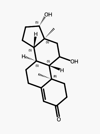 C[C@]12CC(O)[C@H]3[C@@H](CCC4=CC(=O)CC[C@@]43C)[C@@H]1CC[C@@H]2O